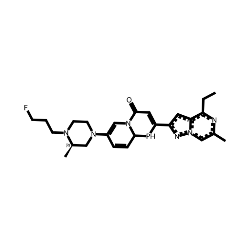 CCc1nc(C)cn2nc(C3=CC(=O)N4C=C(N5CCN(CCCF)[C@H](C)C5)C=CC4P3)cc12